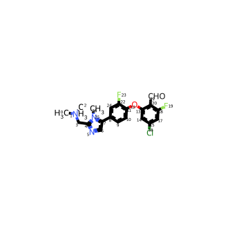 CN(C)Cc1ncc(-c2ccc(Oc3cc(Cl)cc(F)c3C=O)c(F)c2)n1C